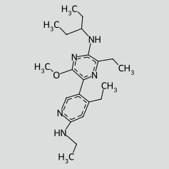 CCNc1cc(CC)c(-c2nc(CC)c(NC(CC)CC)nc2OC)cn1